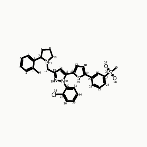 Cc1ccccc1C1CCCN1Cc1cc(-c2ccc(-c3cccc(S(C)(=O)=O)c3)s2)n(-c2ccccc2Cl)n1